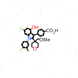 COCC1(c2c(-c3ccc(C(=O)O)cc3)c3c(O)cc(F)cc3n2-c2ccc(F)c(C)c2)CCOCC1